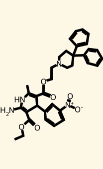 CCOC(=O)C1=C(N)NC(C)=C(C(=O)OCCN2CCC(c3ccccc3)(c3ccccc3)CC2)C1c1cccc([N+](=O)[O-])c1